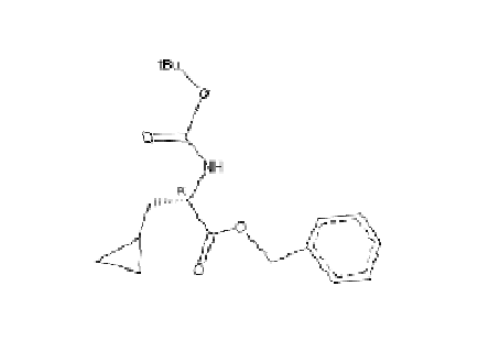 CC(C)(C)OC(=O)N[C@@H](CC1CC1)C(=O)OCc1ccccc1